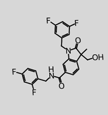 CC1(CO)C(=O)N(Cc2cc(F)cc(F)c2)c2cc(C(=O)NCc3ccc(F)cc3F)ccc21